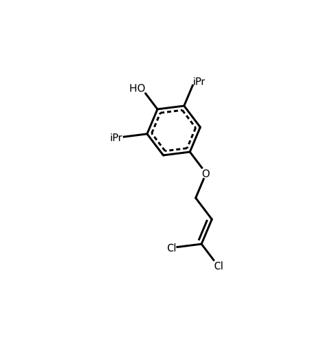 CC(C)c1cc(OCC=C(Cl)Cl)cc(C(C)C)c1O